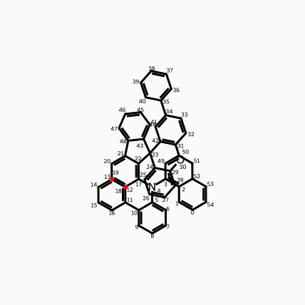 C1=CC2=C(N(c3ccccc3-c3ccccc3)c3cccc4c3C3(c5ccccc5Oc5ccc(-c6ccccc6)cc53)c3ccccc3-4)C=CCC2C=C1